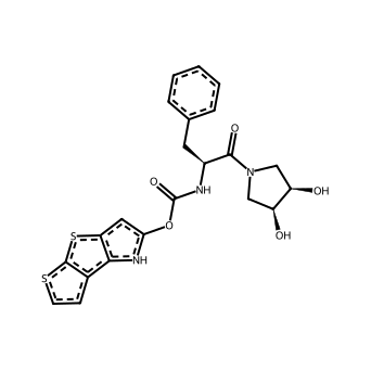 O=C(N[C@@H](Cc1ccccc1)C(=O)N1C[C@@H](O)[C@@H](O)C1)Oc1cc2sc3sccc3c2[nH]1